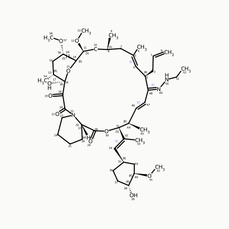 C=CC[C@@H]1/C=C(\C)C[C@H](C)C[C@H](OC)[C@H]2O[C@@](O)(C(=O)C(=O)N3CCCC[C@H]3C(=O)O[C@H](/C(C)=C/[C@@H]3CC[C@@H](O)[C@H](OC)C3)[C@H](C)/C=C/C1=N/NCC)[C@H](C)C[C@@H]2OC